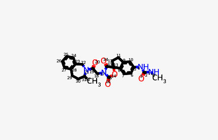 CNC(=O)Nc1ccc2c(c1)CCC21OC(=O)N(CC(=O)N2Cc3ccccc3CCC2C)C1=O